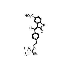 CC(C)(C)[Si](C)(C)OCCc1ccc(C(Cl)=C2C(=O)Nc3ccc(C(=O)O)cc32)cc1